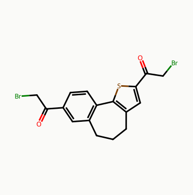 O=C(CBr)c1ccc2c(c1)CCCc1cc(C(=O)CBr)sc1-2